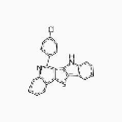 Clc1ccc(-c2nc3ccccc3c3sc4c5ccccc5[nH]c4c23)cc1